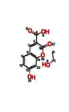 CCO.O=C(O)c1cc2ccc(O)cc2oc1=O